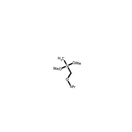 CCCO[CH][Si](C)(OC)OC